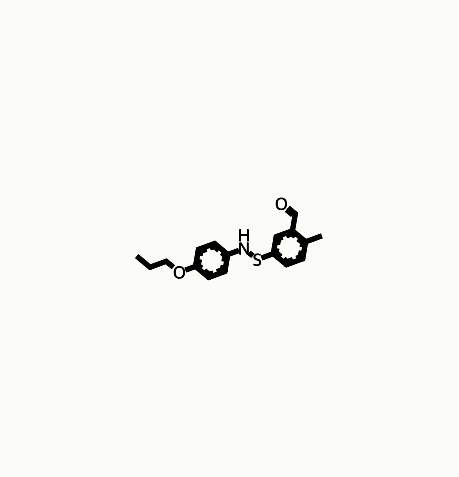 CCCOc1ccc(NSc2ccc(C)c(C=O)c2)cc1